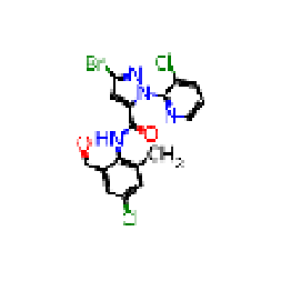 Cc1cc(Cl)cc(C=O)c1NC(=O)c1cc(Br)nn1-c1ncccc1Cl